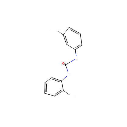 Cc1ccccc1NC(=O)Nc1cccc(S(=O)(=O)O)c1